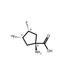 N[C@]1(C(=O)O)C[C@@H](F)[C@@H]([18F])C1